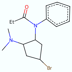 CCC(=O)N(c1ccccc1)C1CC(Br)CC1N(C)C